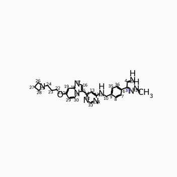 CN/N=C(\C=N)c1ccc(CNc2cc(-c3cnc4cc(OCCCN5CCC5)ccn34)ncn2)cc1